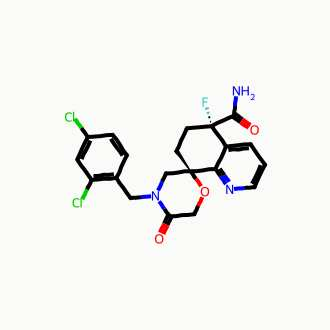 NC(=O)[C@]1(F)CC[C@@]2(CN(Cc3ccc(Cl)cc3Cl)C(=O)CO2)c2ncccc21